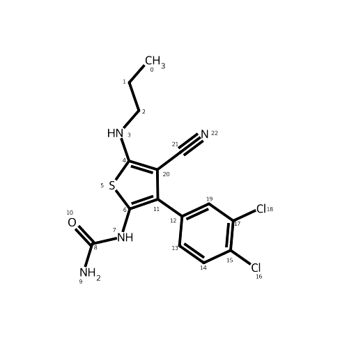 CCCNc1sc(NC(N)=O)c(-c2ccc(Cl)c(Cl)c2)c1C#N